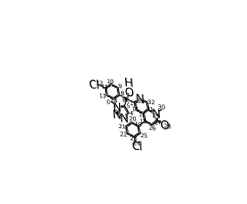 Cn1nncc1[C@@](O)(c1ccc(Cl)cc1)c1cc2c(-c3cccc(Cl)c3)cc(=O)n(C)c2cn1